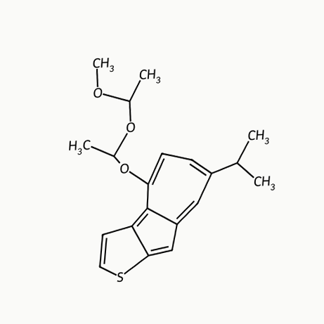 COC(C)OC(C)Oc1ccc(C(C)C)cc2cc3sccc3c1-2